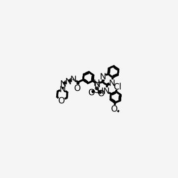 COc1ccc(Cl)c(Nc2nc3ccccc3nc2N(c2cccc(C(=O)N=[N+]=NN3CCOCC3)c2)[SH](=O)=O)c1